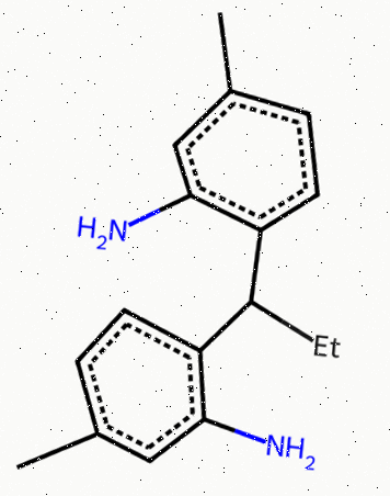 CCC(c1ccc(C)cc1N)c1ccc(C)cc1N